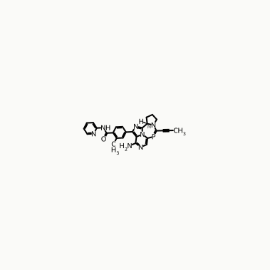 CC#CC1=Pc2cnc(N)c3c(-c4ccc(C(=O)Nc5ccccn5)c(C)c4)nc(n23)[C@@H]2CCCN12